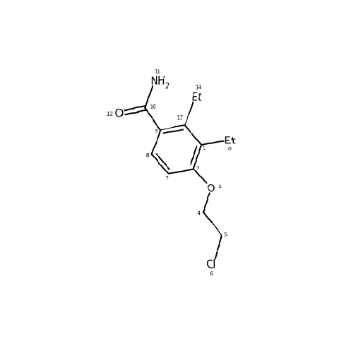 CCc1c(OCCCl)ccc(C(N)=O)c1CC